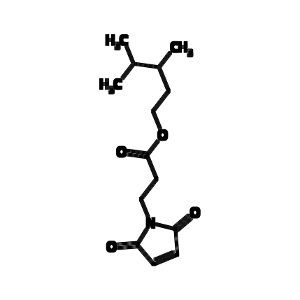 CC(C)C(C)CCOC(=O)CCN1C(=O)C=CC1=O